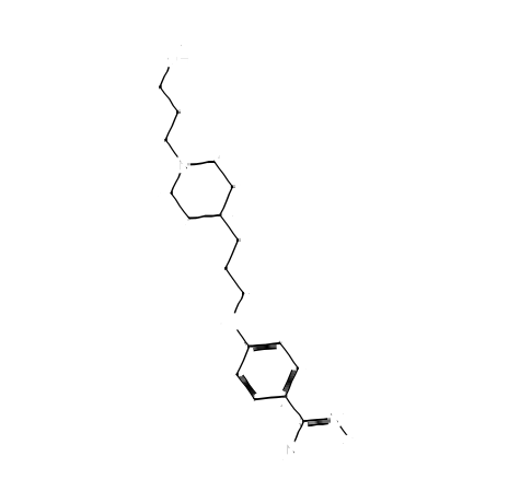 N/C(=N\O)c1ccc(OCCCC2CCN(CCCO)CC2)cc1